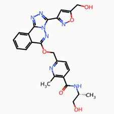 Cc1nc(COc2nn3c(-c4cc(CO)on4)nnc3c3ccccc23)ccc1C(=O)N[C@H](C)CO